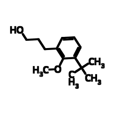 COc1c(CCCO)cccc1C(C)(C)C